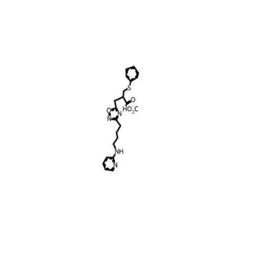 O=C(O)C(=O)C(CSc1ccccc1)Cc1nc(CCCCNc2ccccn2)no1